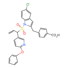 C=CC(c1ccc(Oc2ccccc2)nc1)S(=O)(=O)n1c(Cc2ccc(C(=O)O)cc2)cc2cc(Cl)ccc21